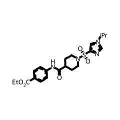 CCOC(=O)c1ccc(NC(=O)C2CCN(S(=O)(=O)c3cn(C(C)C)cn3)CC2)cc1